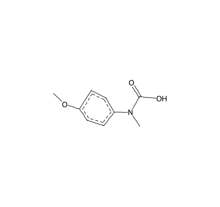 COc1ccc(N(C)C(=O)O)cc1